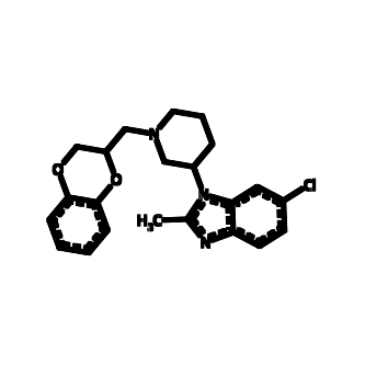 Cc1nc2ccc(Cl)cc2n1C1CCCN(CC2COc3ccccc3O2)C1